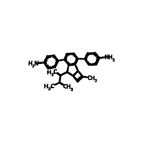 CC1=CC2C1c1c(-c3ccc(N)cc3)ccc(-c3ccc(N)cc3)c1C2C(C)C(C)C